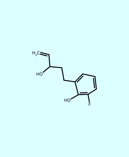 C=CC(O)CCc1cccc(F)c1O